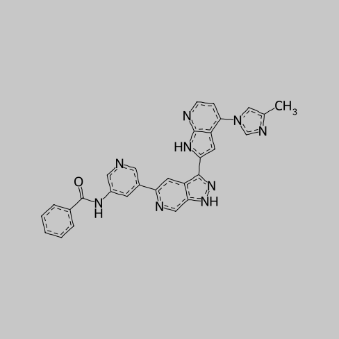 Cc1cn(-c2ccnc3[nH]c(-c4n[nH]c5cnc(-c6cncc(NC(=O)c7ccccc7)c6)cc45)cc23)cn1